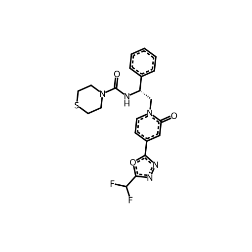 O=C(N[C@@H](Cn1ccc(-c2nnc(C(F)F)o2)cc1=O)c1ccccc1)N1CCSCC1